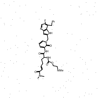 CNCCOC(=O)NC(CC/C=C/C(=O)N(C)C)C(=O)Nc1cccn(Cc2cc3ncc(F)c(CC(C)C)c3[nH]2)c1=O